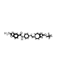 Cc1nc2cc(C(=O)N[C@H]3CC[C@H](CCN4CCc5nc(OCC(F)(F)F)sc5CC4)CC3)ccc2o1